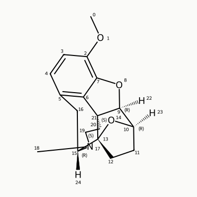 COc1ccc2c3c1O[C@H]1[C@H]4CC[C@@]5(O4)[C@@H](C2)N(C)CC[C@]315